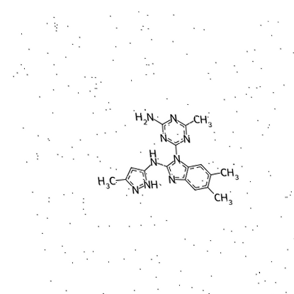 Cc1cc(Nc2nc3cc(C)c(C)cc3n2-c2nc(C)nc(N)n2)[nH]n1